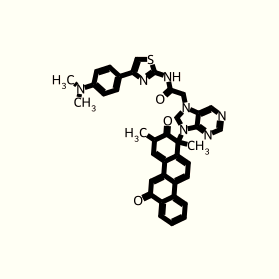 CC1C=c2c(ccc3c2=CC(=O)c2ccccc2-3)C(C)(N2CN(CC(=O)Nc3nc(-c4ccc(N(C)C)cc4)cs3)c3cncnc32)C1=O